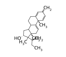 C=C1C=C[C@@]2(C)C(=C1)CCC1C2=CC[C@@]2(C)C1C[C@@H](O)C2(C)C(=C)CC